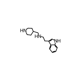 c1ccc2c(CCNCC3CCNCC3)c[nH]c2c1